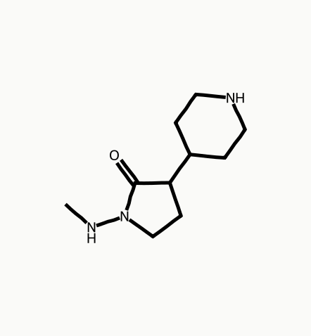 CNN1CCC(C2CCNCC2)C1=O